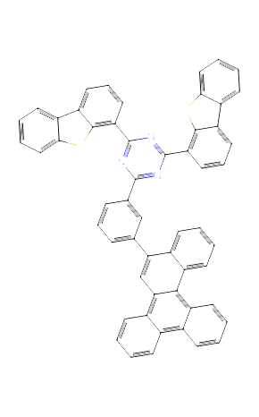 c1cc(-c2nc(-c3cccc4c3sc3ccccc34)nc(-c3cccc4c3sc3ccccc34)n2)cc(-c2cc3c4ccccc4c4ccccc4c3c3ccccc23)c1